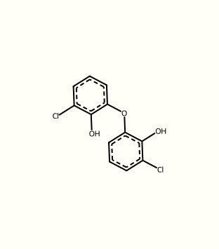 Oc1c(Cl)cccc1Oc1cccc(Cl)c1O